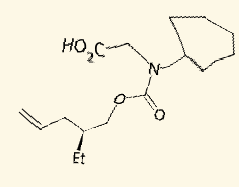 C=CC[C@H](CC)COC(=O)N(CC(=O)O)C1CCCCC1